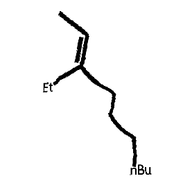 C/C=C(\CC)CCCCCCC